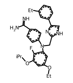 CCOc1cc(OC(C)C)c(F)c(N(Cc2nc(-c3cccc(CC)c3)c[nH]2)c2ccc(C(=N)N)cc2)c1